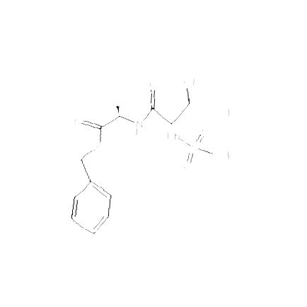 C[C@@H](NC(=O)[C@@H](NS(C)(=O)=O)[C@@H](C)O)C(=O)OCc1ccccc1